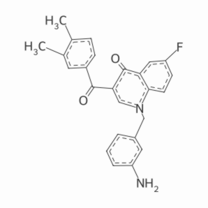 Cc1ccc(C(=O)c2cn(Cc3cccc(N)c3)c3ccc(F)cc3c2=O)cc1C